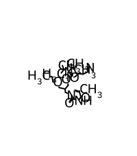 CCCOCC(COP(OCCC#N)N(C(C)C)C(C)C)Cn1cc(C)c(=O)[nH]c1=O